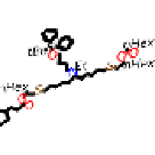 CCCCCCC(=O)OC(CCCCCC)CSCCCCCC(CCCCCSCC(CCCCCC)OC(=O)CCC1CCCCC1)N(CC)CCCCO[Si](c1ccccc1)(c1ccccc1)C(C)(C)C